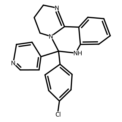 Clc1ccc(C2(c3ccncc3)Nc3ccccc3C3=NCCCN32)cc1